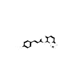 O=C(C=Cc1ccc([N+](=O)[O-])cc1)NC1C(=O)C=Cc2nnnn21